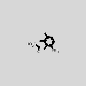 Cc1ccc(N)c(C)c1C.O=C(O)CCl